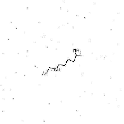 CC(=O)CNCCCCC(C)N